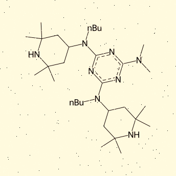 CCCCN(c1nc(N(C)C)nc(N(CCCC)C2CC(C)(C)NC(C)(C)C2)n1)C1CC(C)(C)NC(C)(C)C1